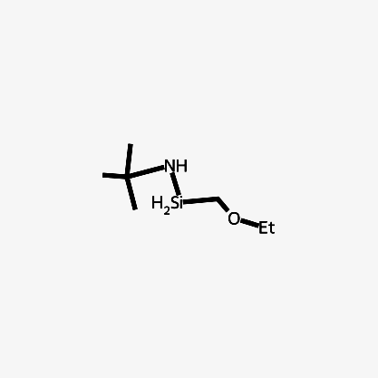 CCOC[SiH2]NC(C)(C)C